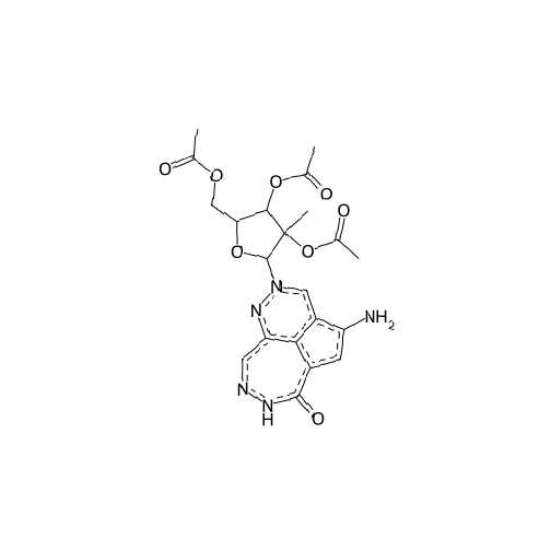 CC(=O)OCC1OC(n2cc3c(N)cc4c(=O)[nH]ncc(n2)c34)C(C)(OC(C)=O)C1OC(C)=O